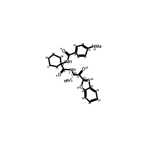 CCC[C@H](NC(=O)C1(NC(=O)c2ccc(NC)cc2)CCCCC1)C(=O)c1nc2ccccc2o1